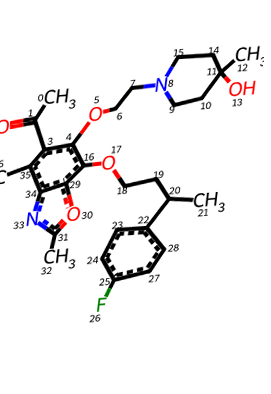 CC(=O)c1c(OCCN2CCC(C)(O)CC2)c(OCCC(C)c2ccc(F)cc2)c2oc(C)nc2c1C